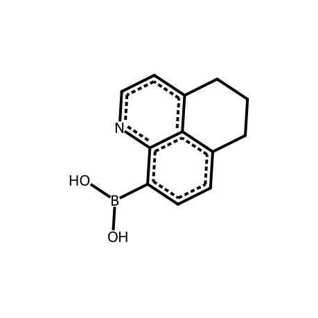 OB(O)c1ccc2c3c(ccnc13)CCC2